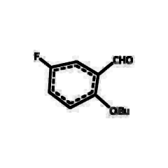 CC(C)COc1ccc(F)cc1C=O